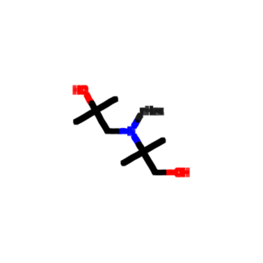 CCCCCCN(CC(C)(C)O)C(C)(C)CO